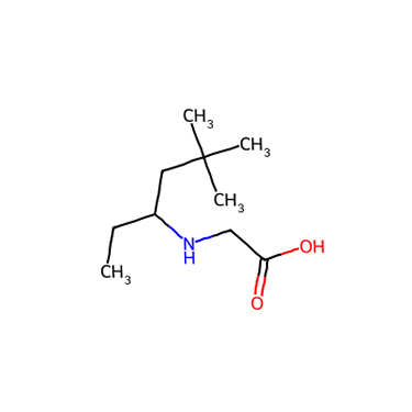 CCC(CC(C)(C)C)NCC(=O)O